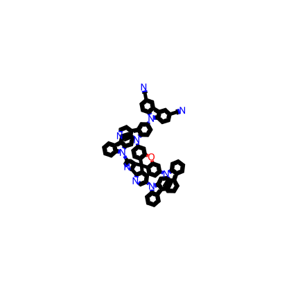 N#Cc1ccc2c(c1)c1cc(C#N)ccc1n2-c1ccc2c(c1)c1ccncc1n2-c1ccc2c(c1)Oc1cc(-n3c4ccccc4c4ccccc43)ccc1C21c2cc(-n3c4ccccc4c4ccccc43)cnc2-c2ncc(-n3c4ccccc4c4ccccc43)cc21